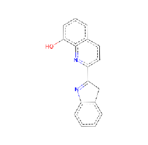 Oc1cccc2ccc(C3=Nc4ccccc4C3)nc12